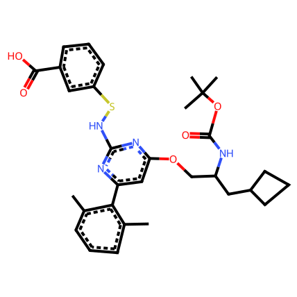 Cc1cccc(C)c1-c1cc(OCC(CC2CCC2)NC(=O)OC(C)(C)C)nc(NSc2cccc(C(=O)O)c2)n1